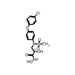 CS(=O)(=O)N(C[C@@H](O)C(=O)NO)c1ccc(Oc2ccc(Cl)cc2)cc1